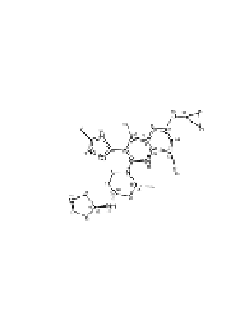 Cc1noc(-c2c(N3CC[C@@H](N[C@H]4CCOC4)C[C@H]3C)nc3c(F)cc(OC4CC4)cc3c2C)n1